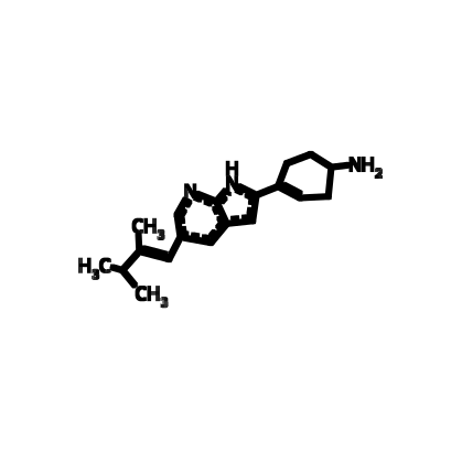 C/C(=C\c1cnc2[nH]c(C3=CCC(N)CC3)cc2c1)C(C)C